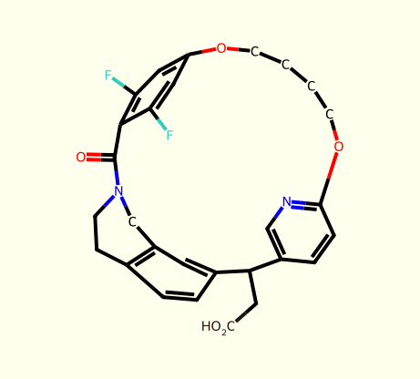 O=C(O)CC1c2ccc(nc2)OCCCCOc2cc(F)c(c(F)c2)C(=O)N2CCc3ccc1cc3C2